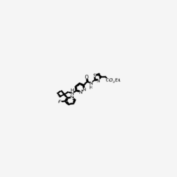 CCOC(=O)Cc1csc(NC(=O)c2ccc(NCC3(c4ncccc4F)CCC3)nn2)n1